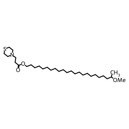 COC(C)CCCCCCCCCCCCCCCCCCCCCOC(=O)CCN1CCSCC1